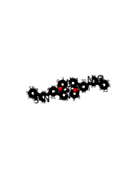 c1ccc([Si](c2ccccc2)(c2nccc3c2oc2ccc(-c4cc5c(cn4)oc4ccccc45)cc23)c2nccc3c2oc2ccc(-c4cc5c(cn4)sc4ccccc45)cc23)cc1